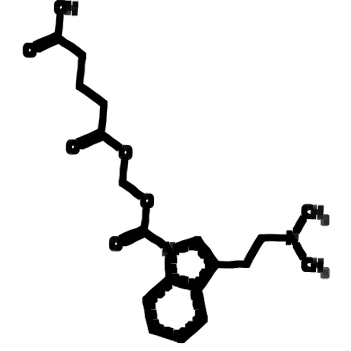 CN(C)CCc1cn(C(=O)OCOC(=O)CCCC(=O)O)c2ccccc12